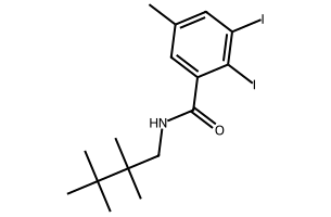 Cc1cc(I)c(I)c(C(=O)NCC(C)(C)C(C)(C)C)c1